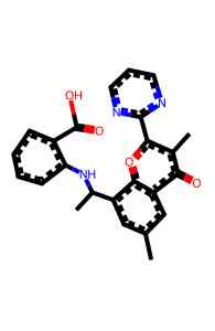 Cc1cc(C(C)Nc2ccccc2C(=O)O)c2oc(-c3ncccn3)c(C)c(=O)c2c1